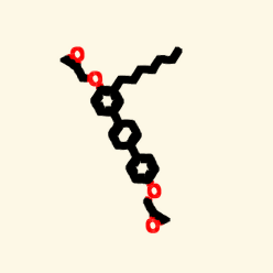 CCCCCCCc1cc(C2=CCC(c3ccc(OCC4CO4)cc3)=CC2)ccc1OCC1CO1